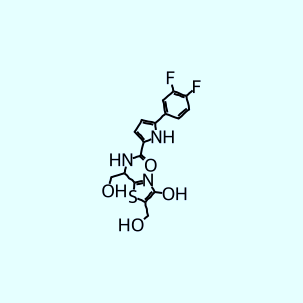 O=C(NC(CO)c1nc(O)c(CO)s1)c1ccc(-c2ccc(F)c(F)c2)[nH]1